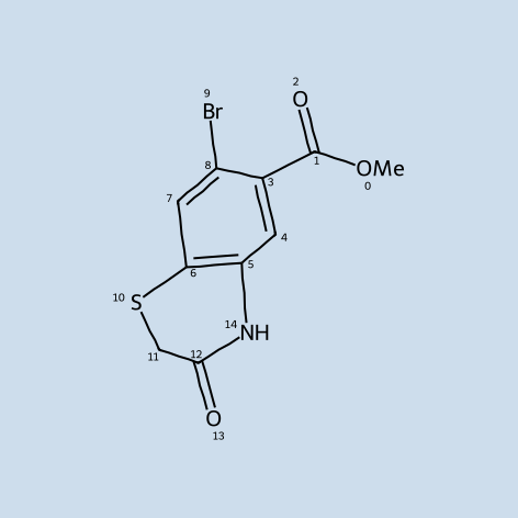 COC(=O)c1cc2c(cc1Br)SCC(=O)N2